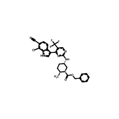 C[C@H]1CC[C@H](Nc2ncc(C(F)(F)F)c(-c3c[nH]c4c(Cl)c(C#N)ccc34)n2)CN1C(=O)OCc1ccccc1